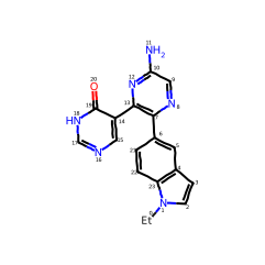 CCn1ccc2cc(-c3ncc(N)nc3-c3cnc[nH]c3=O)ccc21